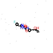 CN1C(=O)[C@H](NC(=O)n2cc(Cc3ccc(F)cc3)cn2)COc2ccc(C#CC3(O)CC4(CCC4)C3)cc21